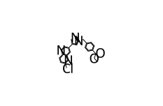 COC(=O)c1ccc(Cn2cc(-c3cnc4ccc(Cl)nc4c3)cn2)cc1